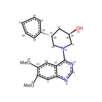 COc1cc2ncnc(N3C[C@H](O)C[C@@H](c4ccccc4)C3)c2cc1OC